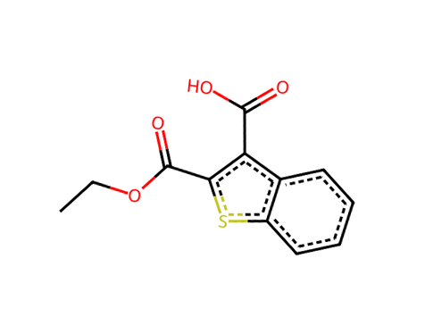 CCOC(=O)c1sc2ccccc2c1C(=O)O